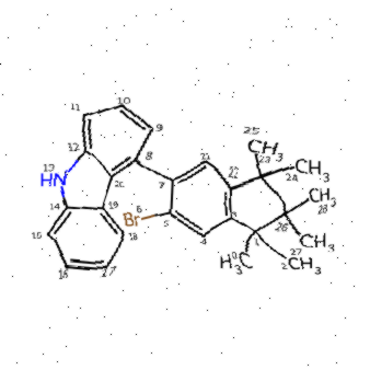 CC1(C)c2cc(Br)c(-c3cccc4[nH]c5ccccc5c34)cc2C(C)(C)C1(C)C